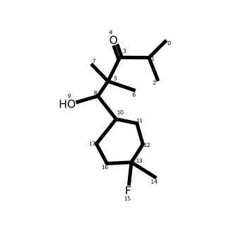 CC(C)C(=O)C(C)(C)C(O)C1CCC(C)(F)CC1